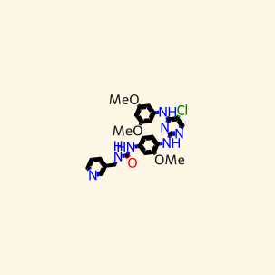 COc1cc(Nc2nc(Nc3ccc(NC(=O)NCc4cccnc4)cc3OC)ncc2Cl)cc(OC)c1